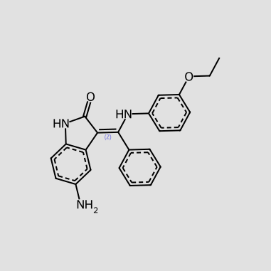 CCOc1cccc(N/C(=C2\C(=O)Nc3ccc(N)cc32)c2ccccc2)c1